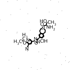 CC(C)Oc1ncc(-c2nc(-c3ccc4c(c3)CCN(C(=O)[C@@H](N)[C@@H](C)O)CC4)no2)cc1C#N.Cl